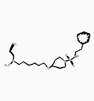 C=CCN(C)CCCCCCOC1CCN(S(=O)(=O)NCCc2ccccc2)CC1